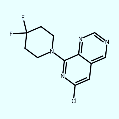 FC1(F)CCN(c2nc(Cl)cc3cncnc23)CC1